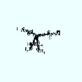 COCCNC(=O)OCCOCC(COCCOCCCC(=O)NCCSSc1ccccn1)(COCCOC(=O)NCCOC)COCCOC(=O)NCCOC